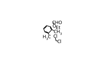 CCOC=O.Cc1ccccc1C.ClCCl